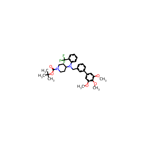 COc1cc(-c2cccc(CN(c3ccccc3C(F)(F)F)C3CCN(C(=O)OC(C)(C)C)CC3)c2)cc(OC)c1OC